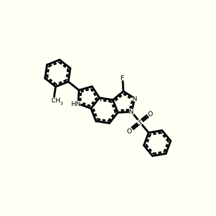 Cc1ccccc1-c1cc2c(ccc3c2c(F)nn3S(=O)(=O)c2ccccc2)[nH]1